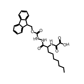 CCCCCCCC(NC(=O)C(=O)O)C(=O)NNC(=O)OCC1c2ccccc2-c2ccccc21